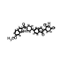 COc1ccc2cc(C(=O)N3CCC(c4ccc5c(c4)CN(C4CCC(=O)NC4=O)C5=O)CC3)[nH]c2c1